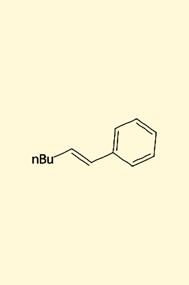 [CH2]CCCC=Cc1ccccc1